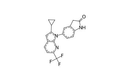 O=C1Cc2cc(-n3c(C4CC4)cc4ccc(C(F)(F)F)nc43)ccc2N1